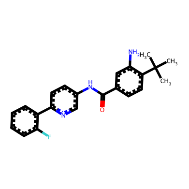 CC(C)(C)c1ccc(C(=O)Nc2ccc(-c3ccccc3F)nc2)cc1N